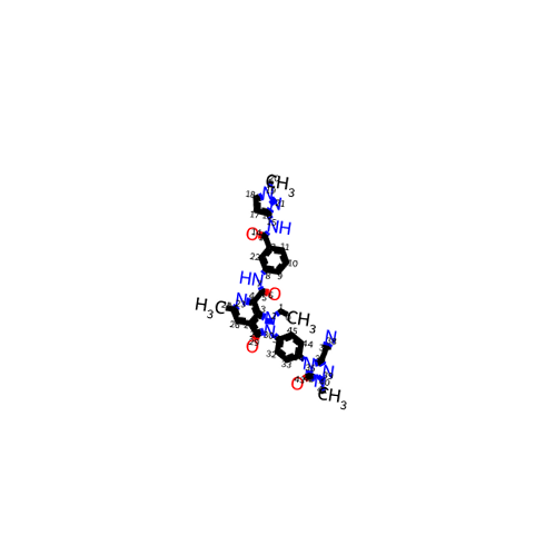 CCn1c2c(C(=O)Nc3cccc(C(=O)Nc4ccn(C)n4)c3)nc(C)cc2c(=O)n1-c1ccc(-n2c(C#N)nn(C)c2=O)cc1